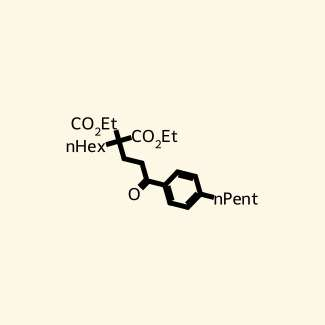 CCCCCCC(CCC(=O)c1ccc(CCCCC)cc1)(C(=O)OCC)C(=O)OCC